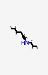 CCCCC#CNCCC